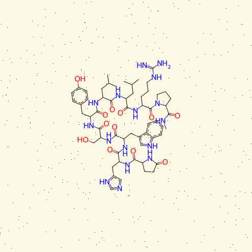 CNC(=O)C1CCCN1C(=O)C(CCCNC(=N)N)NC(=O)C(CC(C)C)NC(=O)C(CC(C)C)NC(=O)C(Cc1ccc(O)cc1)NC(=O)C(CO)NC(=O)C(Cc1c[nH]c2ccccc12)NC(=O)C(Cc1cnc[nH]1)NC(=O)C1CCC(=O)N1